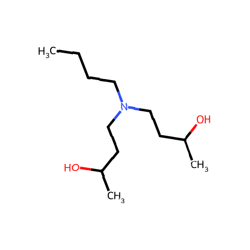 CCCCN(CCC(C)O)CCC(C)O